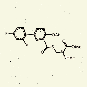 COC(=O)[C@H](CSC(=O)c1cc(-c2ccc(F)cc2F)ccc1OC(C)=O)NC(C)=O